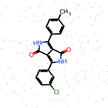 Cc1ccc(C2=C3C(=O)NC(c4cccc(Cl)c4)=C3C(=O)N2)cc1